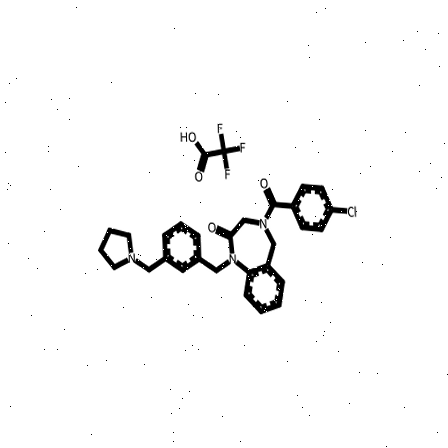 O=C(O)C(F)(F)F.O=C(c1ccc(Cl)cc1)N1CC(=O)N(Cc2cccc(CN3CCCC3)c2)c2ccccc2C1